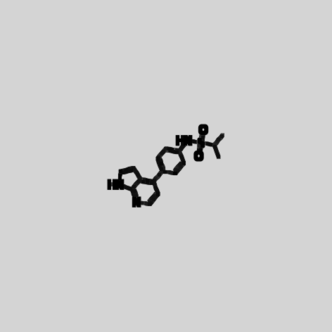 CC(C)S(=O)(=O)Nc1ccc(-c2ccnc3[nH]ccc23)cc1